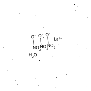 O.O=[N+]([O-])[O-].O=[N+]([O-])[O-].O=[N+]([O-])[O-].[La+3]